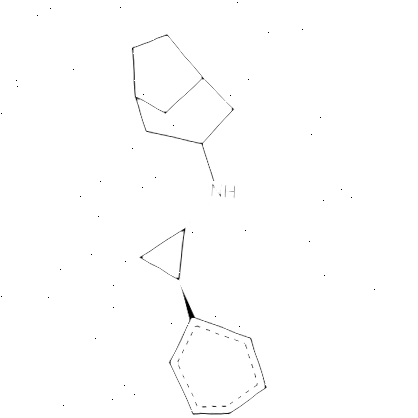 c1ccc([C@H]2C[C@@H]2NC2CC3CCC(C3)C2)cc1